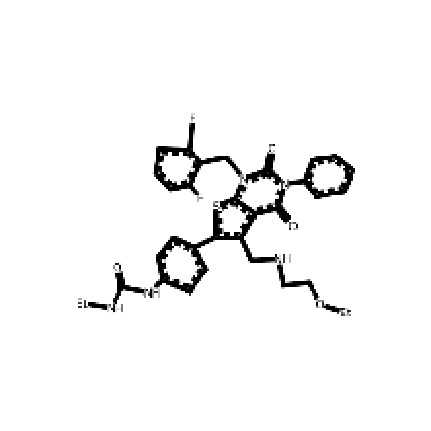 CCNC(=O)Nc1ccc(-c2sc3c(c2CNCCOCC)c(=O)n(-c2ccccc2)c(=O)n3Cc2c(F)cccc2F)cc1